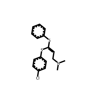 CN(C)CC=C(Sc1ccccc1)Sc1ccc(Cl)cc1